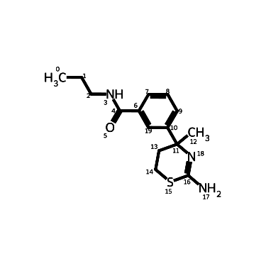 CCCNC(=O)c1cccc(C2(C)CCSC(N)=N2)c1